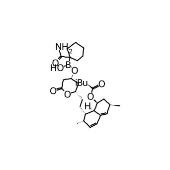 CC[C@H](C)C(=O)O[C@H]1C[C@@H](C)C=C2C=C[C@H](C)[C@H](CC[C@H]3C[C@@H](OB(O)C4(C(N)=O)CCCCC4)CC(=O)O3)[C@H]21